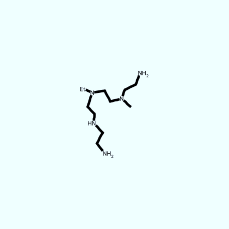 CCN(CCNCCN)CCN(C)CCN